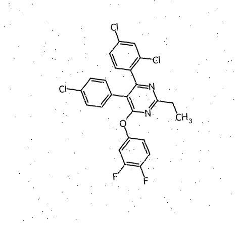 CCc1nc(Oc2ccc(F)c(F)c2)c(-c2ccc(Cl)cc2)c(-c2ccc(Cl)cc2Cl)n1